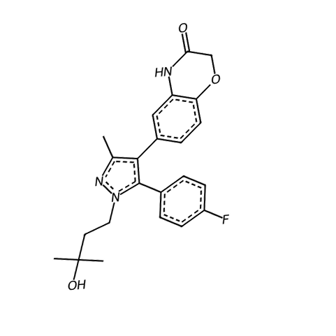 Cc1nn(CCC(C)(C)O)c(-c2ccc(F)cc2)c1-c1ccc2c(c1)NC(=O)CO2